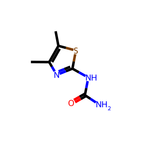 Cc1nc(NC(N)=O)sc1C